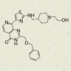 O=c1[nH]c(COCc2ccccc2)nc2c(-c3csc(NCC4CCN(CCO)CC4)n3)nccc12